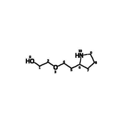 OCCOCCC1CCCN1